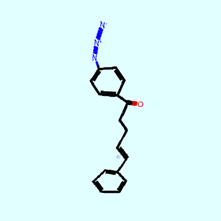 [N-]=[N+]=Nc1ccc(C(=O)CC/C=C/c2ccccc2)cc1